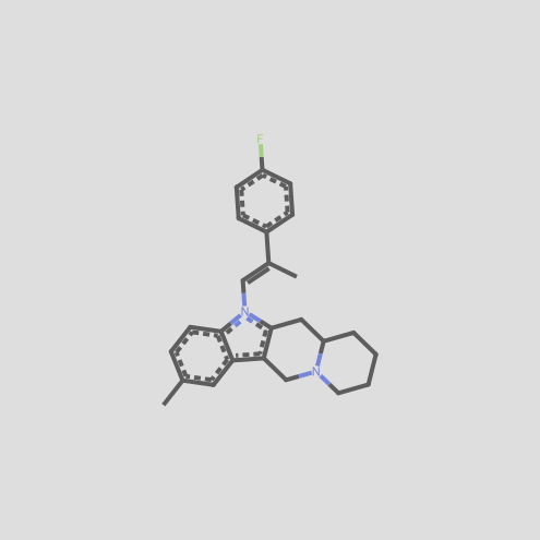 CC(=Cn1c2c(c3cc(C)ccc31)CN1CCCCC1C2)c1ccc(F)cc1